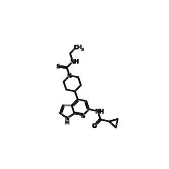 CCNC(=S)N1CCC(c2cc(NC(=O)C3CC3)nc3[nH]ccc23)CC1